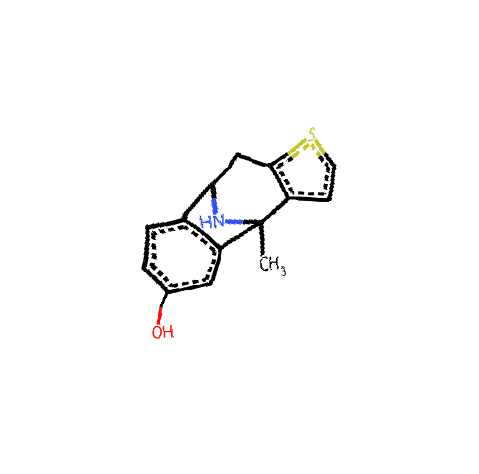 CC12NC(Cc3sccc31)c1ccc(O)cc12